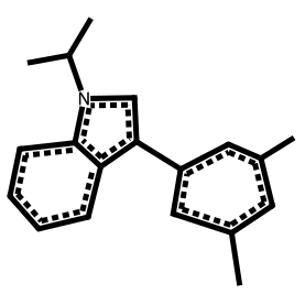 Cc1cc(C)cc(-c2cn(C(C)C)c3ccccc23)c1